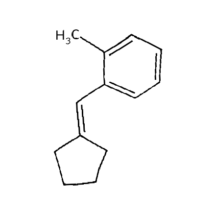 Cc1ccccc1C=C1CCCC1